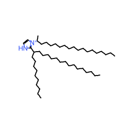 CCCCCCCCCCCCCCCCCC(C)[n+]1cc[nH]c1C(CCCCCCCCCC)CCCCCCCCCCCCCCC